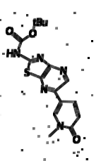 Cn1cc(-c2cnc3nc(NC(=O)OC(C)(C)C)sc3n2)ccc1=O